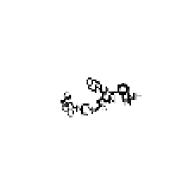 CS(=O)(=O)CC(=O)N1CCN(Cc2cc3c(N4CCOCC4)nc(-c4cccc5[nH]ncc45)nc3s2)CC1